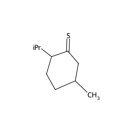 CC1CCC(C(C)C)C(=S)C1